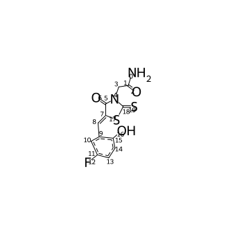 NC(=O)CN1C(=O)C(=Cc2cc(F)ccc2O)SC1=S